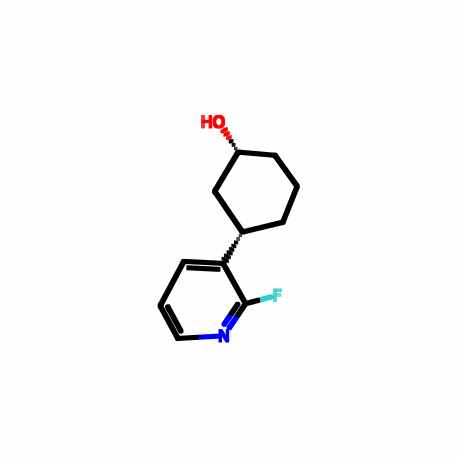 O[C@@H]1CCC[C@H](c2cccnc2F)C1